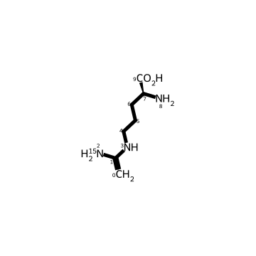 C=C([15NH2])NCCC[C@H](N)C(=O)O